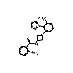 O=C(NC1CN(c2cccc(C(=O)O)c2-n2cccc2)C1)c1ccccc1[N+](=O)[O-]